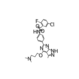 Cc1n[nH]c2nc(-c3ccc(NS(=O)(=O)c4cc(Cl)ccc4F)cc3)nc(OCCCN(C)C)c12